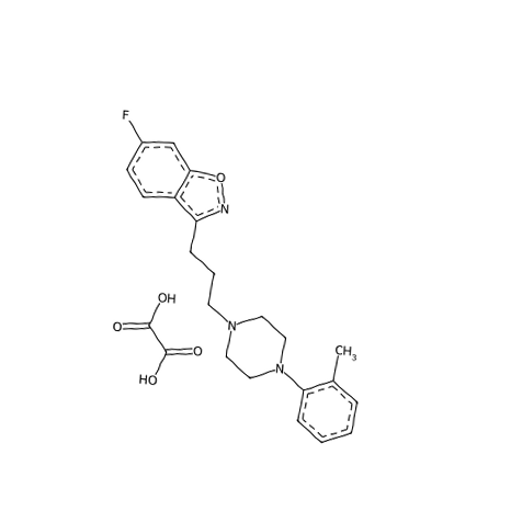 Cc1ccccc1N1CCN(CCCc2noc3cc(F)ccc23)CC1.O=C(O)C(=O)O